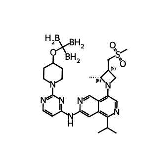 BC(B)(B)OC1CCN(c2nccc(Nc3cc4c(C(C)C)ncc(N5C[C@H](CS(C)(=O)=O)[C@H]5C)c4cn3)n2)CC1